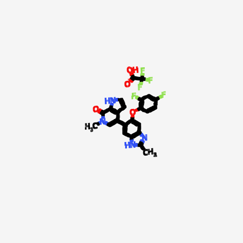 Cc1nc2cc(Oc3ccc(F)cc3F)c(-c3cn(C)c(=O)c4[nH]ccc34)cc2[nH]1.O=C(O)C(F)(F)F